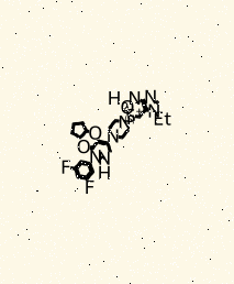 CCn1cnc(N)c1C[S@@+]([O-])N1CCN(C2=C(OC3CCCC3)C(=O)N(c3cc(F)cc(F)c3)NC2)CC1